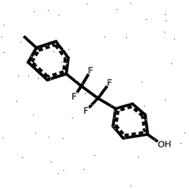 Cc1ccc(C(F)(F)C(F)(F)c2ccc(O)cc2)cc1